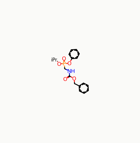 CC(C)OP(=O)(CNC(=O)OCc1ccccc1)Oc1ccccc1